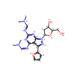 CN(C)/C=N\c1nc(/N=C/N(C)C)nc2c1c(-c1ccco1)nn2C1CC(O)C(CO)O1